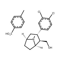 CN1[C@H]2CC[C@@H]1[C@H](CO)[C@@H](c1ccc(Cl)c(Cl)c1)C2.Cc1ccc(S(=O)(=O)O)cc1